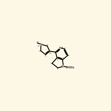 CNN1CCc2c1ccnc2C1=CCN(C)C1